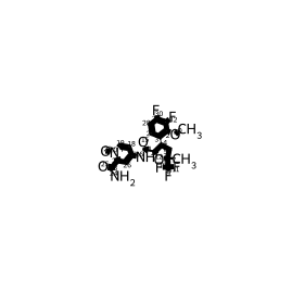 COc1c([C@@H]2C[C@](C)(C(F)(F)F)O[C@H]2C(=O)Nc2cc[n+]([O-])c(C(N)=O)c2)ccc(F)c1F